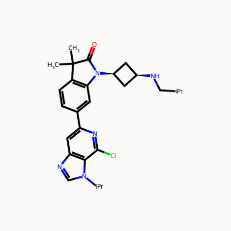 CC(C)CN[C@H]1C[C@@H](N2C(=O)C(C)(C)c3ccc(-c4cc5ncn(C(C)C)c5c(Cl)n4)cc32)C1